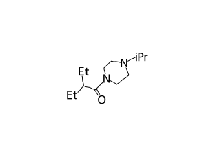 CCC(CC)C(=O)N1CCN(C(C)C)CC1